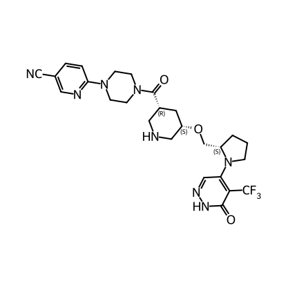 N#Cc1ccc(N2CCN(C(=O)[C@H]3CNC[C@@H](OC[C@@H]4CCCN4c4cn[nH]c(=O)c4C(F)(F)F)C3)CC2)nc1